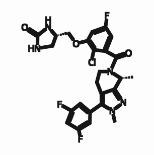 C[C@@H]1c2nn(C)c(-c3cc(F)cc(F)c3)c2CCN1C(=O)c1cc(F)cc(OC[C@@H]2CNC(=O)N2)c1Cl